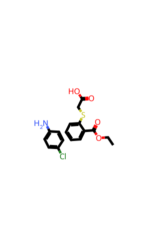 CCOC(=O)c1ccccc1SCC(=O)O.Nc1ccc(Cl)cc1